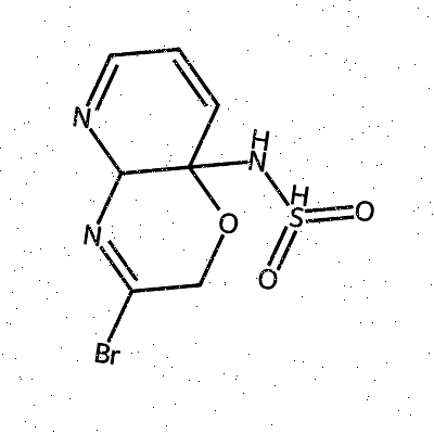 O=[SH](=O)NC12C=CC=NC1N=C(Br)CO2